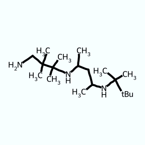 CC(CC(C)NC(C)(C)C(C)(C)CN)NC(C)(C)C(C)(C)C